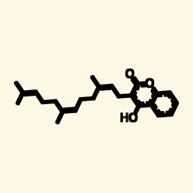 CC(C)=CCCC(C)=CCCC(C)=CCc1c(O)c2ccccc2oc1=O